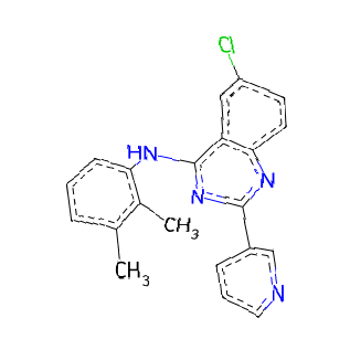 Cc1cccc(Nc2nc(-c3cccnc3)nc3ccc(Cl)cc23)c1C